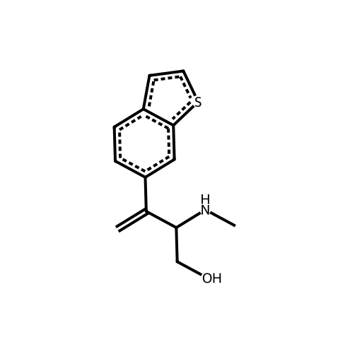 C=C(c1ccc2ccsc2c1)C(CO)NC